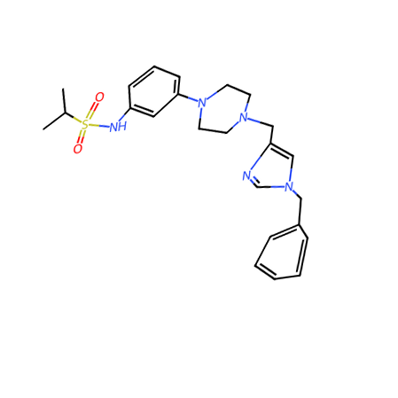 CC(C)S(=O)(=O)Nc1cccc(N2CCN(Cc3cn(Cc4ccccc4)cn3)CC2)c1